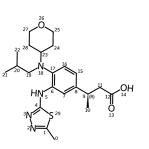 Cc1nnc(Nc2cc([C@H](C)CC(=O)O)ccc2N(CC(C)C)C2CCOCC2)s1